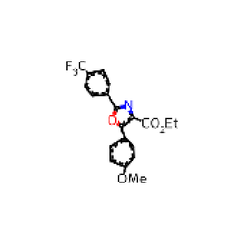 CCOC(=O)c1nc(-c2ccc(C(F)(F)F)cc2)oc1-c1ccc(OC)cc1